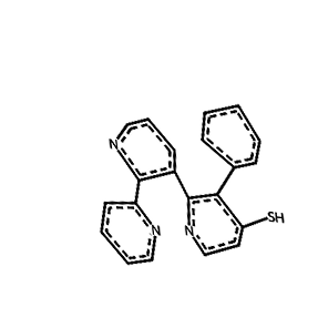 Sc1ccnc(-c2cccnc2-c2ccccn2)c1-c1ccccc1